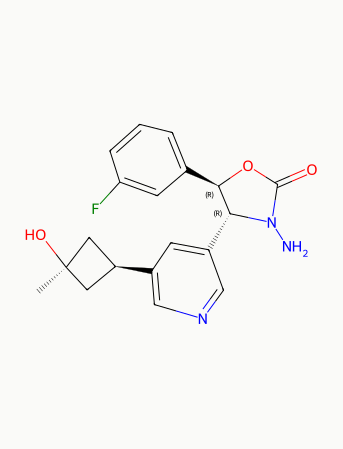 C[C@]1(O)C[C@@H](c2cncc([C@@H]3[C@@H](c4cccc(F)c4)OC(=O)N3N)c2)C1